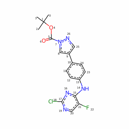 CC(C)(C)OC(=O)n1cc(-c2ccc(Nc3nc(Cl)ncc3F)cc2)cn1